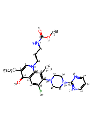 CCOC(=O)c1cn(CCCNC(=O)OC(C)(C)C)c2c(C(F)(F)F)c(N3CCN(c4ncccn4)CC3)c(F)cc2c1=O